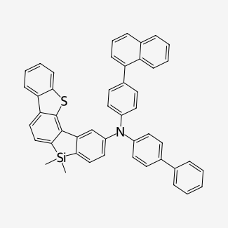 C[Si]1(C)c2ccc(N(c3ccc(-c4ccccc4)cc3)c3ccc(-c4cccc5ccccc45)cc3)cc2-c2c1ccc1c2sc2ccccc21